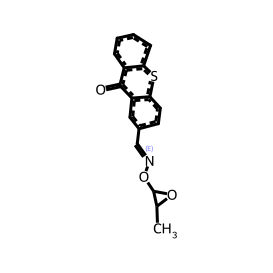 CC1OC1O/N=C/c1ccc2sc3ccccc3c(=O)c2c1